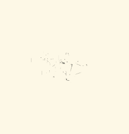 Cc1ccc(N2CC(C)(C(=O)OC(C)(C)C)CCC2=O)c([N+](=O)[O-])c1